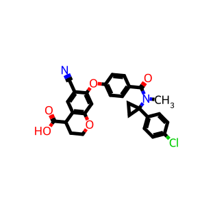 CN(C(=O)c1ccc(Oc2cc3c(cc2C#N)C(C(=O)O)CCO3)cc1)C1(c2ccc(Cl)cc2)CC1